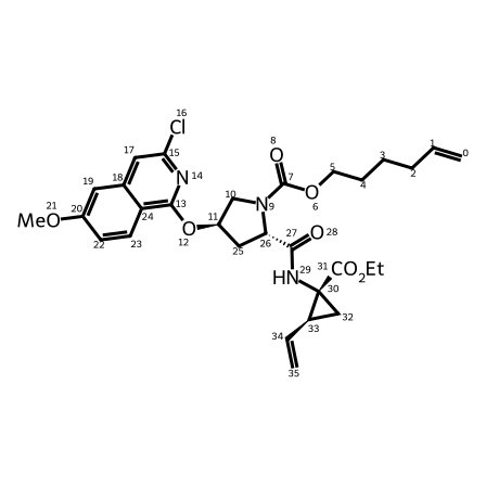 C=CCCCCOC(=O)N1C[C@H](Oc2nc(Cl)cc3cc(OC)ccc23)C[C@H]1C(=O)N[C@]1(C(=O)OCC)C[C@H]1C=C